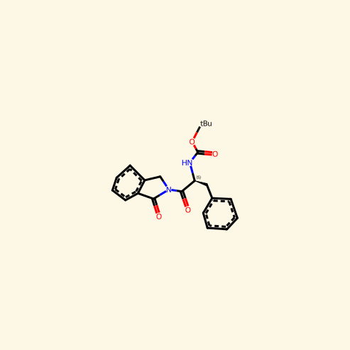 CC(C)(C)OC(=O)N[C@@H](Cc1ccccc1)C(=O)N1Cc2ccccc2C1=O